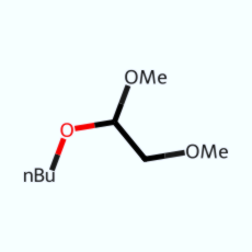 CCCCOC(COC)OC